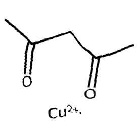 CC(=O)CC(C)=O.[Cu+2]